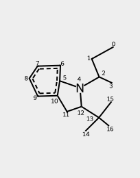 CCC(C)N1c2ccccc2CC1C(C)(C)C